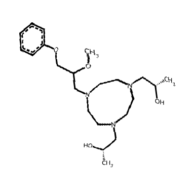 COC(COc1ccccc1)CN1CCN(C[C@H](C)O)CCN(C[C@H](C)O)CC1